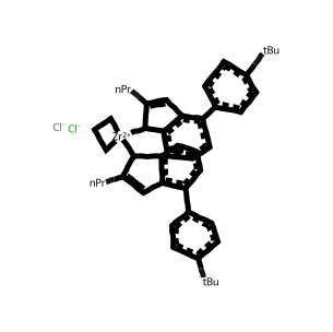 CCCC1=Cc2c(-c3ccc(C(C)(C)C)cc3)cccc2[CH]1[Zr+2]1([CH]2C(CCC)=Cc3c(-c4ccc(C(C)(C)C)cc4)cccc32)[CH2]C[CH2]1.[Cl-].[Cl-]